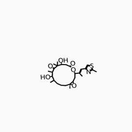 C/C(=C\c1csc(C)n1)C1CC2O[C@]2(C)CCCC(C)C(O)C(C)C(=O)C(C)(C)[C@@H](O)CC(=O)O1